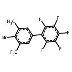 Cc1cc(-c2c(F)c(F)c(F)c(F)c2F)cc(C(F)(F)F)c1Br